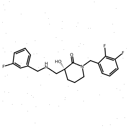 O=C1N(Cc2cccc(F)c2F)CCC[C@@]1(O)CNCc1cccc(F)c1